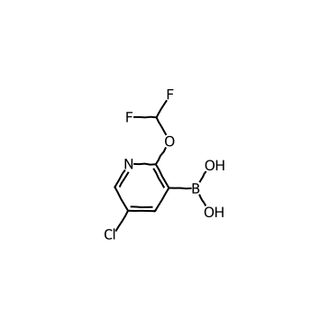 OB(O)c1cc(Cl)cnc1OC(F)F